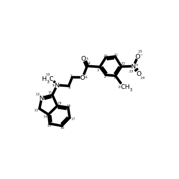 Cc1cc(C(=O)OCCN(C)C2=NCc3ccccc32)ccc1[N+](=O)[O-]